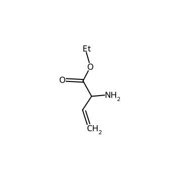 C=CC(N)C(=O)OCC